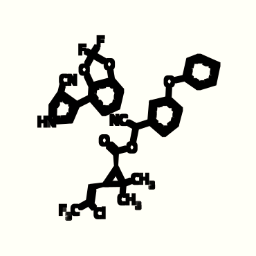 CC1(C)[C@H](C(=O)OC(C#N)c2cccc(Oc3ccccc3)c2)[C@@H]1/C=C(\Cl)C(F)(F)F.N#Cc1c[nH]cc1-c1cccc2c1OC(F)(F)O2